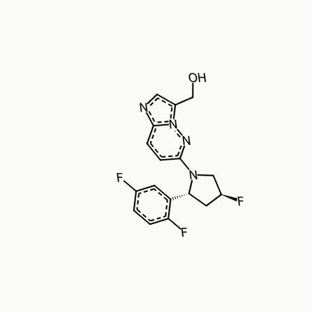 OCc1cnc2ccc(N3C[C@@H](F)C[C@@H]3c3cc(F)ccc3F)nn12